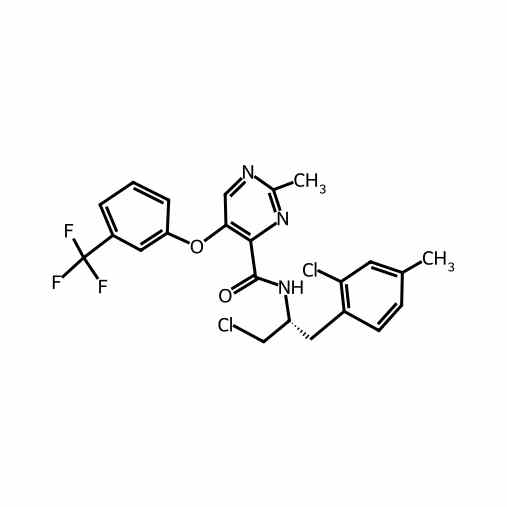 Cc1ccc(C[C@H](CCl)NC(=O)c2nc(C)ncc2Oc2cccc(C(F)(F)F)c2)c(Cl)c1